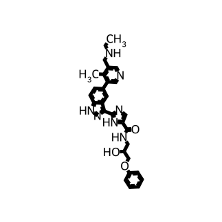 CCNCc1cncc(-c2ccc3[nH]nc(-c4ncc(C(=O)NCC(O)COc5ccccc5)[nH]4)c3c2)c1C